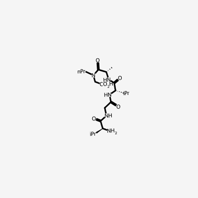 CCCN(CC(=O)O)C(=O)[C@H](C)NC(=O)[C@@H](NC(=O)CNC(=O)[C@@H](N)C(C)C)C(C)C